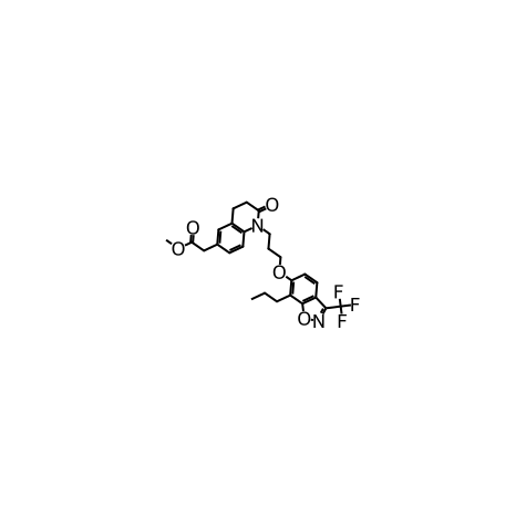 CCCc1c(OCCCN2C(=O)CCc3cc(CC(=O)OC)ccc32)ccc2c(C(F)(F)F)noc12